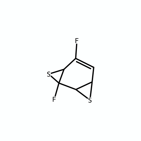 FC1=CC2SC2C2(F)SC12